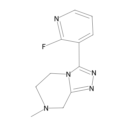 CN1CCn2c(nnc2-c2cccnc2F)C1